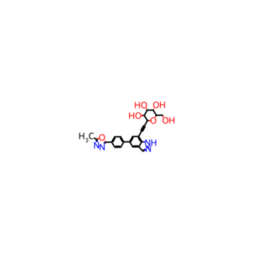 Cc1nnc(-c2ccc(-c3cc(C#CC4OC(CO)[C@@H](O)C(O)C4O)c4[nH]ncc4c3)cc2)o1